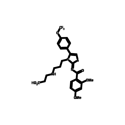 COc1ccc(C(=O)/N=c2\scc(-c3ccc(OC(F)(F)F)cc3)n2CCCNCCC(=O)O)c(OC)c1